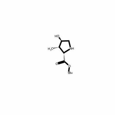 C[C@H]1[C@@H](C(=O)OC(C)(C)C)NC[C@@H]1O